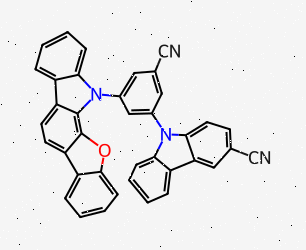 N#Cc1cc(-n2c3ccccc3c3cc(C#N)ccc32)cc(-n2c3ccccc3c3ccc4c5ccccc5oc4c32)c1